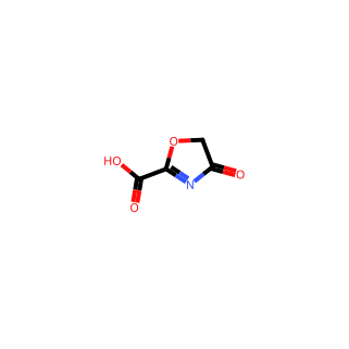 O=C1COC(C(=O)O)=N1